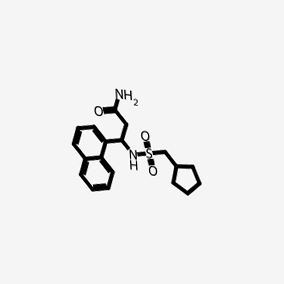 NC(=O)CC(NS(=O)(=O)CC1CCCC1)c1cccc2ccccc12